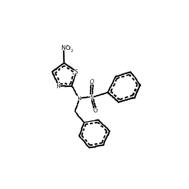 O=[N+]([O-])c1cnc(N(Cc2ccccc2)S(=O)(=O)c2ccccc2)s1